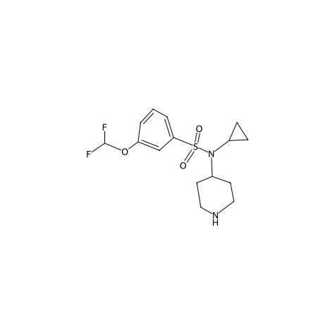 O=S(=O)(c1cccc(OC(F)F)c1)N(C1CCNCC1)C1CC1